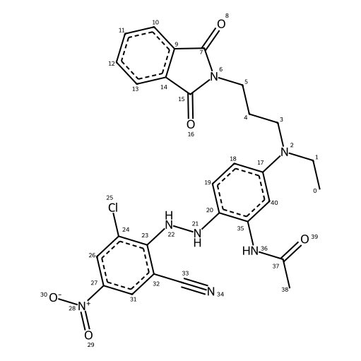 CCN(CCCN1C(=O)c2ccccc2C1=O)c1ccc(NNc2c(Cl)cc([N+](=O)[O-])cc2C#N)c(NC(C)=O)c1